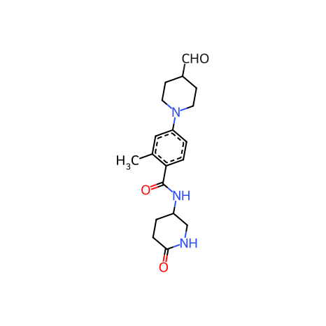 Cc1cc(N2CCC(C=O)CC2)ccc1C(=O)NC1CCC(=O)NC1